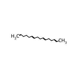 C=CCCCC=CCCC=CCCC=CC